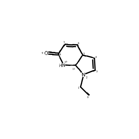 CCN1C=CC2C=CC(=O)NC21